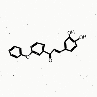 O=C(C=Cc1ccc(O)c(O)c1)c1cccc(Oc2ccccc2)c1